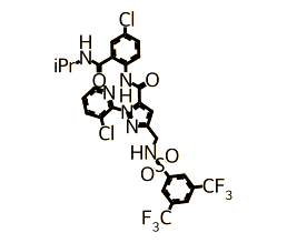 CC(C)NC(=O)c1cc(Cl)ccc1NC(=O)c1cc(CNS(=O)(=O)c2cc(C(F)(F)F)cc(C(F)(F)F)c2)nn1-c1ncccc1Cl